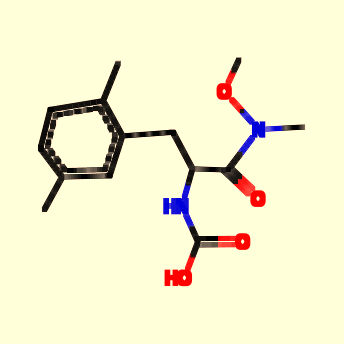 CON(C)C(=O)C(Cc1cc(C)ccc1C)NC(=O)O